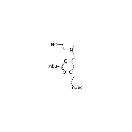 CCCCCCCCCCCCOCC(CN(C)CCO)OC(=O)CCCC